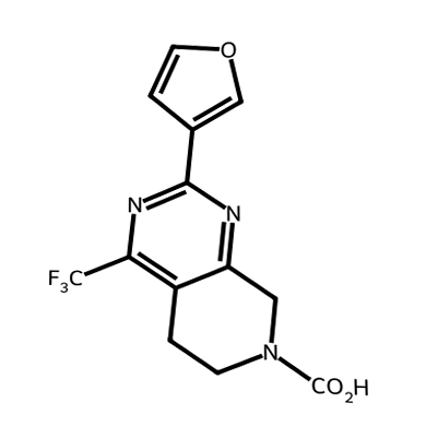 O=C(O)N1CCc2c(nc(-c3ccoc3)nc2C(F)(F)F)C1